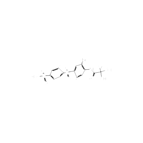 CC(O)(C(=O)Nc1ccc(S(=O)(=O)c2ccc(S(C)(=O)=O)cc2)cc1Br)C(F)(F)F